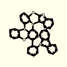 c1ccc2c(c1)Oc1c(-c3ccccc3-n3c4ccccc4c4ccccc43)ccc3c1B2c1cccc2c1N3c1c(oc3ccccc13)O2